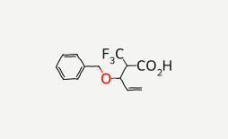 C=CC(OCc1ccccc1)C(C(=O)O)C(F)(F)F